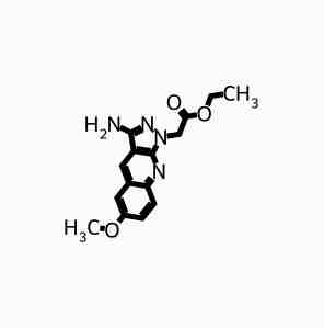 CCOC(=O)Cn1nc(N)c2cc3cc(OC)ccc3nc21